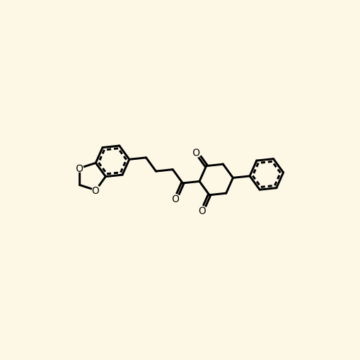 O=C(CCCc1ccc2c(c1)OCO2)C1C(=O)CC(c2ccccc2)CC1=O